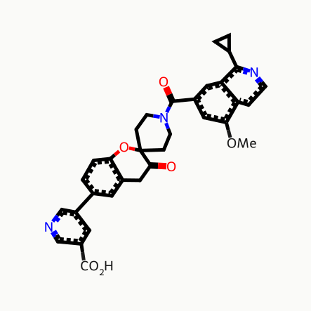 COc1cc(C(=O)N2CCC3(CC2)Oc2ccc(-c4cncc(C(=O)O)c4)cc2CC3=O)cc2c(C3CC3)nccc12